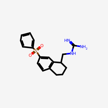 N=C(N)NCC1CCCc2ccc(S(=O)(=O)c3ccccc3)cc21